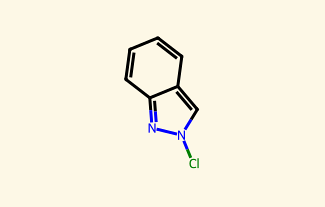 Cln1cc2ccccc2n1